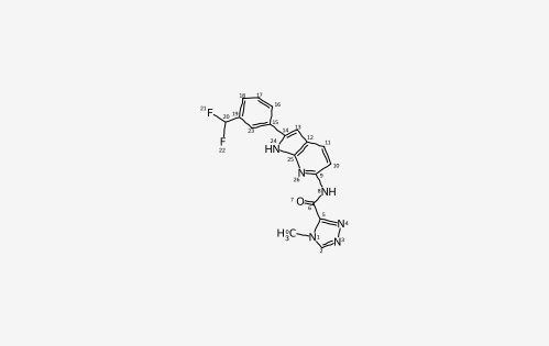 Cn1cnnc1C(=O)Nc1ccc2cc(-c3cccc(C(F)F)c3)[nH]c2n1